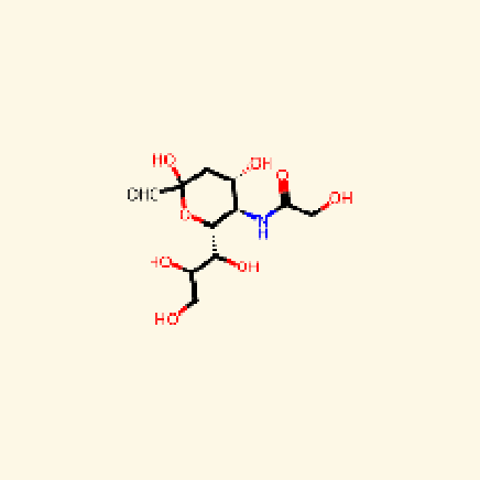 O=CC1(O)C[C@H](O)[C@@H](NC(=O)CO)[C@H](C(O)C(O)CO)O1